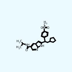 CC(C)NC(=O)C1=CC2C=C(C(CC3CCCC3)c3ccc(S(C)(=O)=O)cc3)NC2N=C1